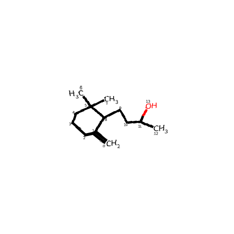 C=C1CCCC(C)(C)C1CCC(C)O